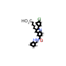 O=C(O)CCCCc1cc2cc(C(=O)NCc3ccccc3)ccc2nc1-c1ccc(Cl)cc1